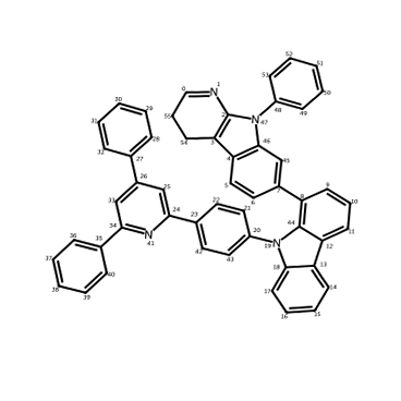 C1=Nc2c(c3ccc(-c4cccc5c6ccccc6n(-c6ccc(-c7cc(-c8ccccc8)cc(-c8ccccc8)n7)cc6)c45)cc3n2-c2ccccc2)CC1